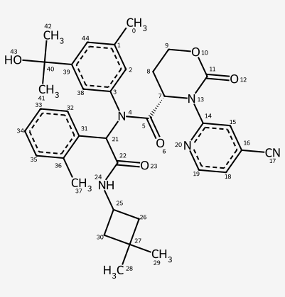 Cc1cc(N(C(=O)[C@@H]2CCOC(=O)N2c2cc(C#N)ccn2)C(C(=O)NC2CC(C)(C)C2)c2ccccc2C)cc(C(C)(C)O)c1